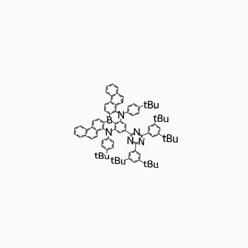 CC(C)(C)c1ccc(N2c3cc(-c4nc(-c5cc(C(C)(C)C)cc(C(C)(C)C)c5)nc(-c5cc(C(C)(C)C)cc(C(C)(C)C)c5)n4)cc4c3B(c3ccc5c(ccc6ccccc65)c32)c2ccc3c(ccc5ccccc53)c2N4c2ccc(C(C)(C)C)cc2)cc1